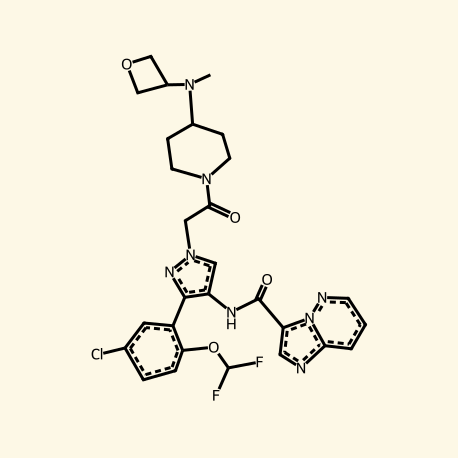 CN(C1CCN(C(=O)Cn2cc(NC(=O)c3cnc4cccnn34)c(-c3cc(Cl)ccc3OC(F)F)n2)CC1)C1COC1